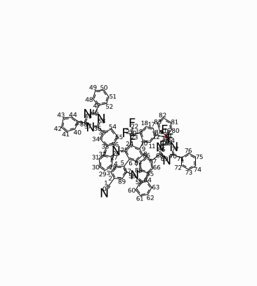 N#Cc1ccc(-c2ccc(-c3cc(C(F)(F)F)ccc3C(F)(F)F)cc2-n2c3ccccc3c3cc(-c4nc(-c5ccccc5)nc(-c5ccccc5)n4)ccc32)c(-n2c3ccccc3c3cc(-c4nc(-c5ccccc5)nc(-c5ccccc5)n4)ccc32)c1